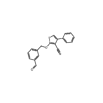 N#Cc1c(-c2ccccc2)csc1OCc1cccc(C=O)c1